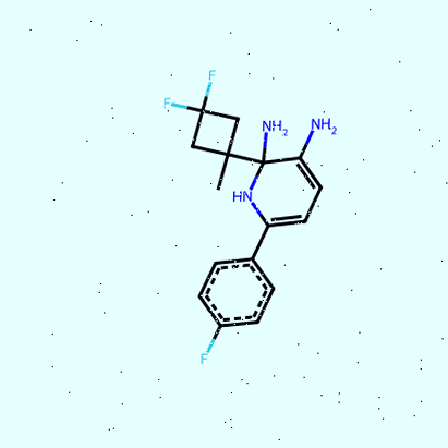 CC1(C2(N)NC(c3ccc(F)cc3)=CC=C2N)CC(F)(F)C1